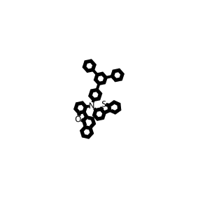 c1ccc(-c2cc(-c3ccccc3)cc(-c3ccc(N(c4cccc5c4sc4ccccc45)c4cccc5oc6c7ccccc7ccc6c45)cc3)c2)cc1